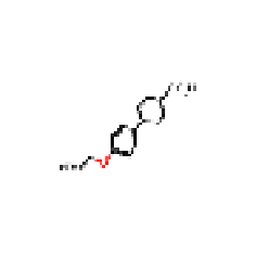 CCCCCCCCCCCOc1ccc(C2CCC(C(=O)O)CC2)cc1